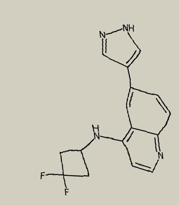 FC1(F)CC(Nc2ccnc3ccc(-c4cn[nH]c4)cc23)C1